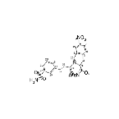 CNC(=O)[C@@H]1Cc2ccc([N+](=O)[O-])cc2CN1C(=O)CCc1cccc(S(N)(=O)=O)c1